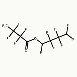 O=C(OC(F)C(F)(F)C(F)(F)C(F)F)C(F)(F)C(F)(F)C(F)(F)F